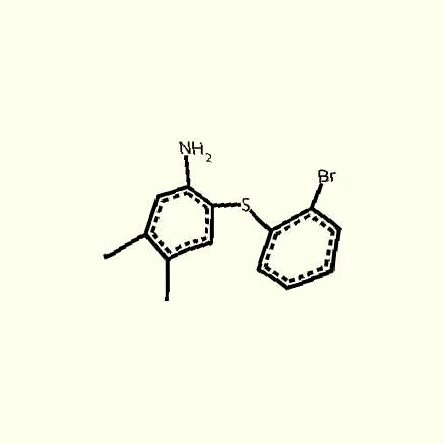 Cc1cc(N)c(Sc2ccccc2Br)cc1C